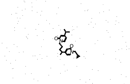 CC(C)c1ccn(CCCC(C)c2ccn(CC3CC3)c(=O)c2)c(=O)c1